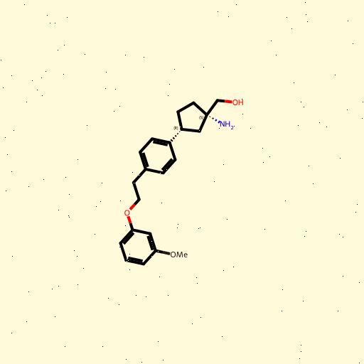 COc1cccc(OCCc2ccc([C@@H]3CC[C@@](N)(CO)C3)cc2)c1